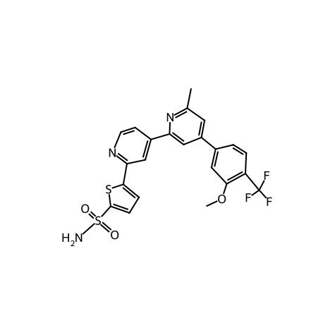 COc1cc(-c2cc(C)nc(-c3ccnc(-c4ccc(S(N)(=O)=O)s4)c3)c2)ccc1C(F)(F)F